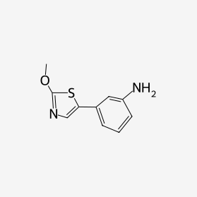 COc1ncc(-c2cccc(N)c2)s1